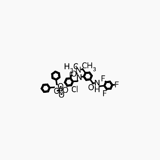 CC1c2ccc(C(=O)NCc3c(F)cc(F)cc3F)cc2N(Cc2c(F)ccc(OP(=O)(OCc3ccccc3)OCc3ccccc3)c2Cl)C(=O)N1C